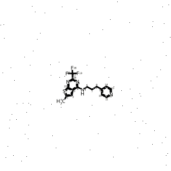 Cc1cc2c(NCCCc3ccncc3)nc(C(F)(F)F)nc2s1